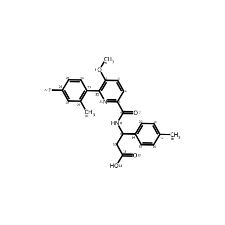 COc1ccc(C(=O)NC(CC(=O)O)c2ccc(C)cc2)nc1-c1ccc(F)cc1C